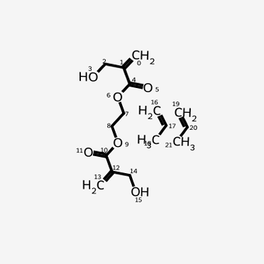 C=C(CO)C(=O)OCCOC(=O)C(=C)CO.C=CC.C=CC